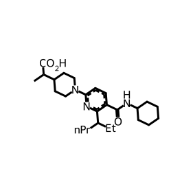 CCCC(CC)c1nc(N2CCC(C(C)C(=O)O)CC2)ccc1C(=O)NC1CCCCC1